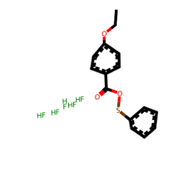 CCOc1ccc(C(=O)OSc2ccccc2)cc1.F.F.F.F.F